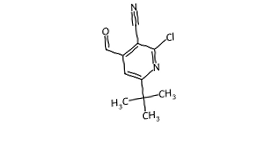 CC(C)(C)c1cc(C=O)c(C#N)c(Cl)n1